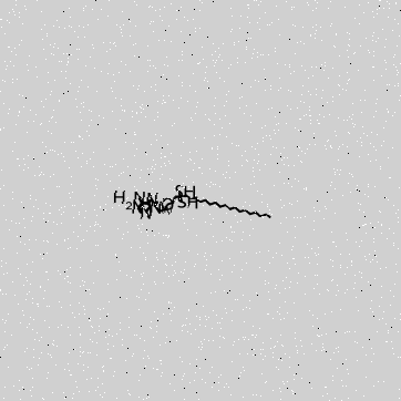 CCCCCCCCCCCCCCCCCCC(S)(S)CCO[C@H](C)Cn1cnc2c(N)ncnc21